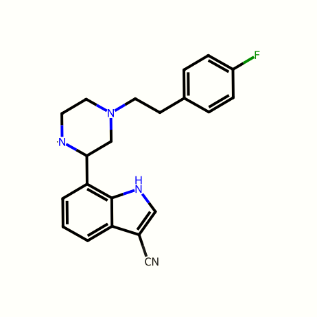 N#Cc1c[nH]c2c(C3CN(CCc4ccc(F)cc4)CC[N]3)cccc12